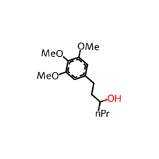 CCCC(O)CCc1cc(OC)c(OC)c(OC)c1